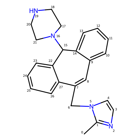 Cc1nccn1CC1=Cc2ccccc2C(N2CCNCC2)c2ccccc21